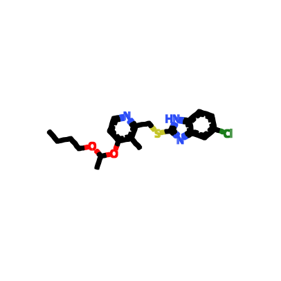 CCCCOC(C)Oc1ccnc(CSc2nc3cc(Cl)ccc3[nH]2)c1C